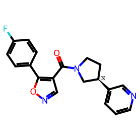 O=C(c1cnoc1-c1ccc(F)cc1)N1CC[C@@H](c2cccnc2)C1